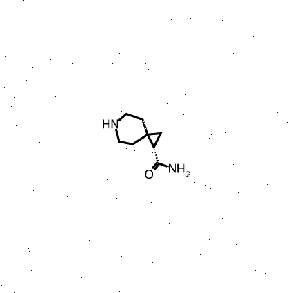 NC(=O)[C@H]1CC12CCNCC2